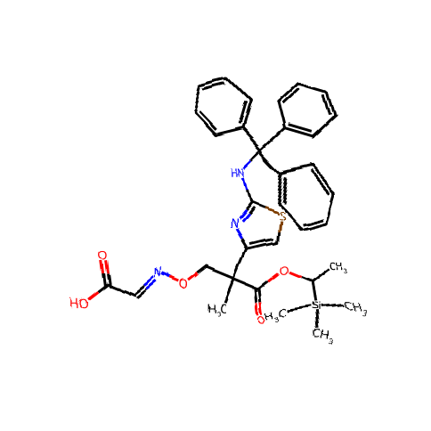 CC(OC(=O)C(C)(CON=CC(=O)O)c1csc(NC(c2ccccc2)(c2ccccc2)c2ccccc2)n1)[Si](C)(C)C